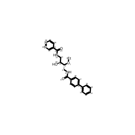 CCO[C@H](CNC(=O)c1ccc(-c2ccccc2)cc1)[C@@H](O)CNC(=O)c1ccnnc1